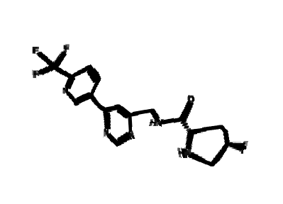 O=C(NCc1cc(-c2ccc(C(F)(F)F)nc2)ncn1)[C@@H]1C[C@@H](F)CN1